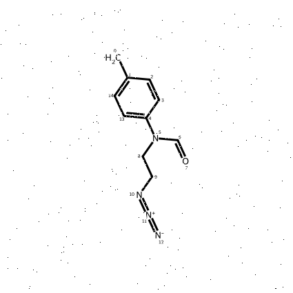 [CH2]c1ccc(N(C=O)CCN=[N+]=[N-])cc1